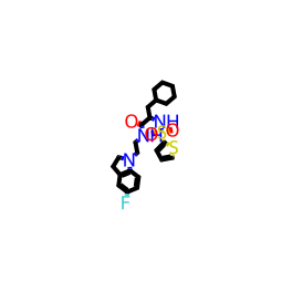 O=C(NCCN1CCc2cc(F)ccc21)C(CC1CCCCC1)NS(=O)(=O)c1cccs1